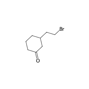 O=C1CCCC(CCBr)C1